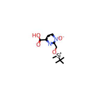 CC(C)(C)[Si](C)(C)OCc1nc(C(=O)O)cc[n+]1[O-]